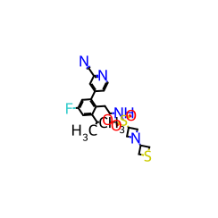 CC(C)c1cc(F)cc(-c2ccnc(C#N)c2)c1CC(=O)NS(=O)(=O)C1CN(C2CSC2)C1